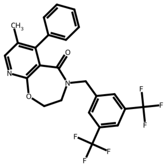 Cc1cnc2c(c1-c1ccccc1)C(=O)N(Cc1cc(C(F)(F)F)cc(C(F)(F)F)c1)CCO2